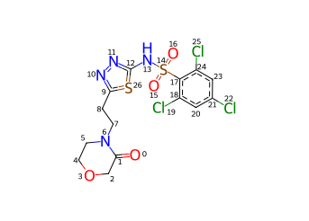 O=C1COCCN1CCc1nnc(NS(=O)(=O)c2c(Cl)cc(Cl)cc2Cl)s1